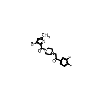 Cn1cc(Br)c(C(=O)N2CCN(CC(=O)c3ccc(F)c(F)c3)CC2)n1